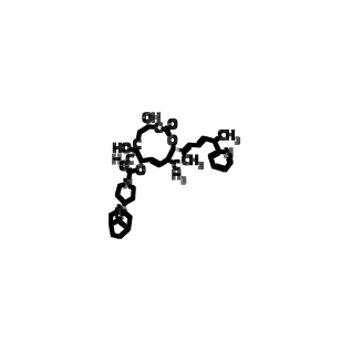 C/C(=C\C=C\C(C)c1ccccn1)[C@H]1OC(=O)C[C@@H](O)CC[C@](C)(O)[C@@H](OC(=O)N2CCC(N3CC4CCC(C3)C4(F)F)CC2)/C=C/[C@@H]1C